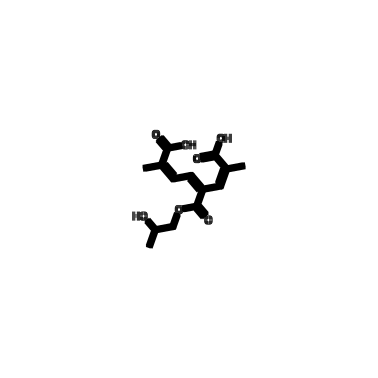 CC(=CC=C(C=C(C)C(=O)O)C(=O)OCC(C)O)C(=O)O